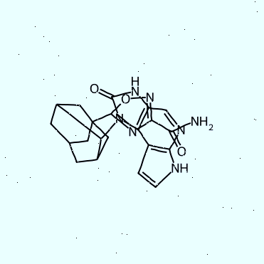 NC(=O)c1noc(C23CC4CC(C2)C(n2c(=O)[nH]c5cnc6[nH]ccc6c52)C(C4)C3)n1